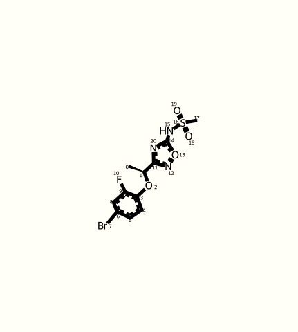 C[C@H](Oc1ccc(Br)cc1F)c1noc(NS(C)(=O)=O)n1